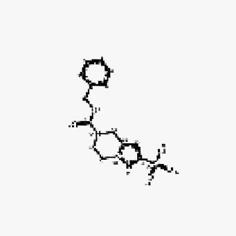 O=C(OCc1ccccc1)N1CCn2nc(S(=O)(=O)Cl)cc2C1